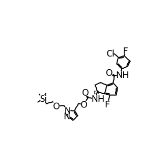 C[Si](C)(C)CCOCn1nccc1COC(=O)N[C@H]1CCc2c(C(=O)Nc3ccc(F)c(Cl)c3)ccc(F)c21